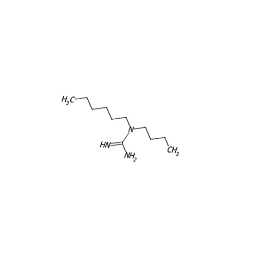 CCCCCCN(CCCC)C(=N)N